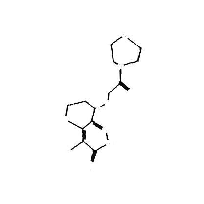 O=C(CO[C@@H]1CCOc2c1n[nH]c(=O)c2Br)N1CCNCC1